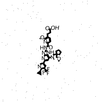 COCC1(CN(C)c2cc(-c3cnc(C4CC4)c(C(F)(F)F)c3)nc3nc(NC(=O)c4ccc(CCC(=O)O)c(OC)n4)[nH]c23)CCCC1